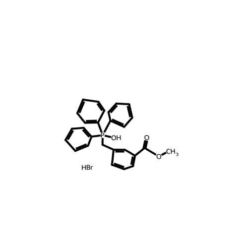 Br.COC(=O)c1cccc(CP(O)(c2ccccc2)(c2ccccc2)c2ccccc2)c1